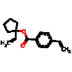 C=Cc1ccc(C(=O)OC2(C=C)CCCC2)cc1